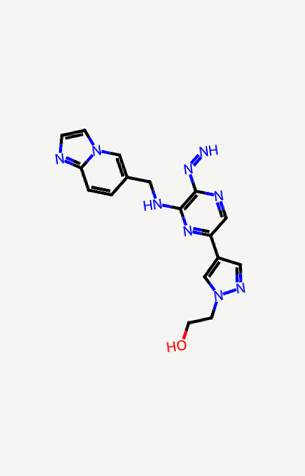 N=Nc1ncc(-c2cnn(CCO)c2)nc1NCc1ccc2nccn2c1